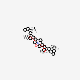 CC1(C)c2cc(-c3ccc4c(c3)N(c3c(-c5ccc(-c6ccccc6)cc5)cccc3-c3ccc(-c5ccccc5)cc3)c3cc(-c5ccc6c(c5)C(C)(C)c5cc7c(cc5-6)C(C)(C)c5ccc6ccccc6c5-7)ccc3O4)ccc2-c2cc3c(cc21)-c1c(ccc2ccccc12)C3(C)C